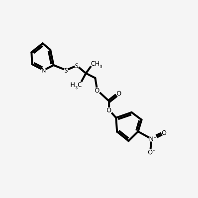 CC(C)(COC(=O)Oc1ccc([N+](=O)[O-])cc1)SSc1ccccn1